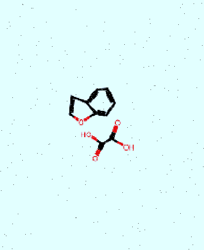 O=C(O)C(=O)O.c1ccc2occc2c1